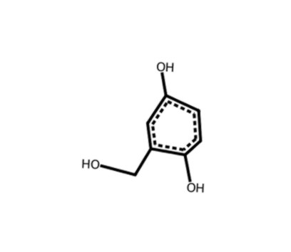 OCc1cc(O)ccc1O